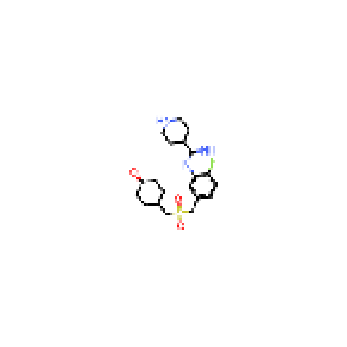 N=C(Nc1cc(CS(=O)(=O)CC2CCC(=O)CC2)ccc1F)C1CCNCC1